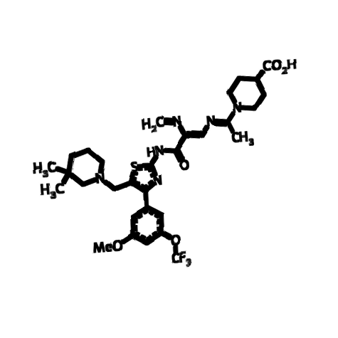 C=N/C(=C\N=C(/C)N1CCC(C(=O)O)CC1)C(=O)Nc1nc(-c2cc(OC)cc(OC(F)(F)F)c2)c(CN2CCCC(C)(C)C2)s1